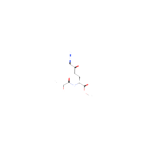 CC(C)OC(=O)[C@H](CCC(=O)C=[N+]=[N-])NC(=O)[C@H](O)C#N